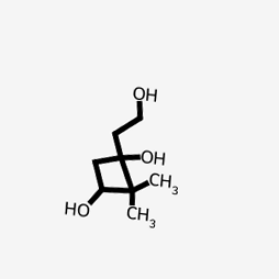 CC1(C)C(O)CC1(O)CCO